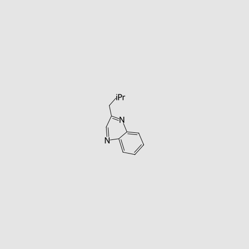 CC(C)Cc1cnc2ccccc2n1